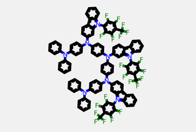 Fc1c(F)c(C(F)(F)F)c(F)c(F)c1-n1c2ccccc2c2ccc(N(c3ccc(N(c4ccccc4)c4ccccc4)cc3)c3ccc(N(c4ccc(N(c5ccc(N(c6ccccc6)c6ccccc6)cc5)c5ccc6c7ccccc7n(-c7c(F)c(F)c(C(F)(F)F)c(F)c7F)c6c5)cc4)c4ccc5c6ccccc6n(-c6c(F)c(F)c(C(F)(F)F)c(F)c6F)c5c4)cc3)cc21